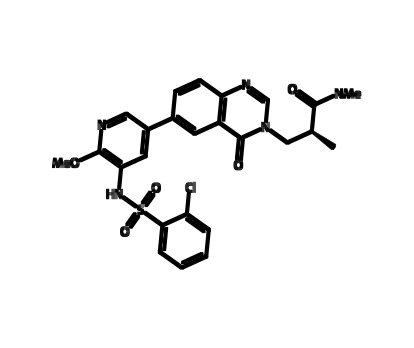 CNC(=O)[C@@H](C)Cn1cnc2ccc(-c3cnc(OC)c(NS(=O)(=O)c4ccccc4Cl)c3)cc2c1=O